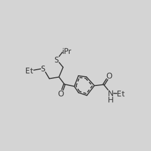 CCNC(=O)c1ccc(C(=O)C(CSCC)CSC(C)C)cc1